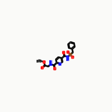 CCCOC(=O)CNC(=O)c1ccc(C(=O)NS(=O)(=O)Cc2ccccc2)cn1